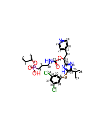 CCC(C)OP(=O)(O)CCCNC(=O)OC(Cc1ccncc1)c1nc(C(C)C)c(Sc2cc(Cl)cc(Cl)c2)[nH]1